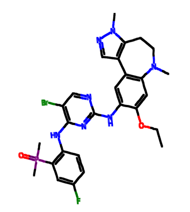 CCOc1cc2c(cc1Nc1ncc(Br)c(Nc3ccc(F)cc3P(C)(C)=O)n1)-c1cnn(C)c1CCN2C